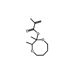 C=C(C)C(=O)OC1(C)OCCCCOC1C